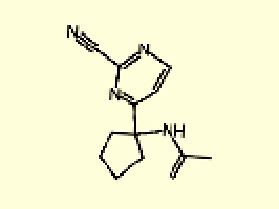 C=C(C)NC1(c2ccnc(C#N)n2)CCCC1